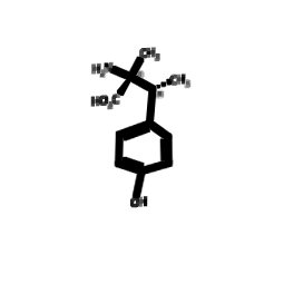 C[C@H](c1ccc(O)cc1)[C@@](C)(N)C(=O)O